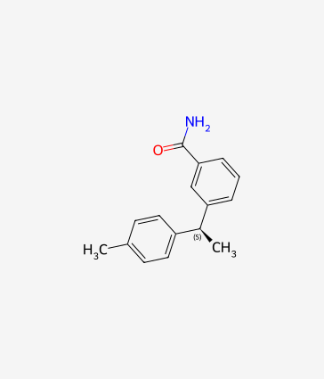 Cc1ccc([C@H](C)c2cccc(C(N)=O)c2)cc1